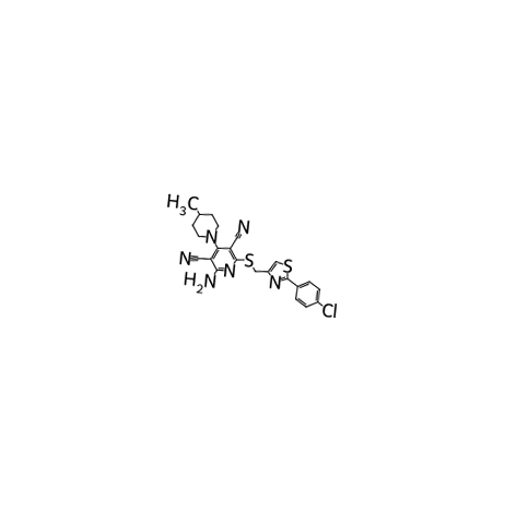 CC1CCN(c2c(C#N)c(N)nc(SCc3csc(-c4ccc(Cl)cc4)n3)c2C#N)CC1